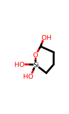 OC1CCC[Si](O)(O)O1